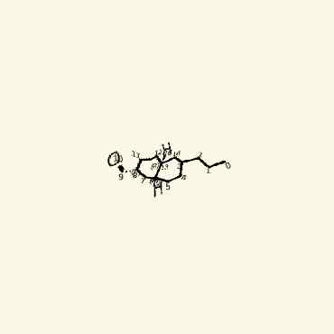 CCCC1CC[C@@H]2C[C@H](C=O)CC[C@@H]2C1